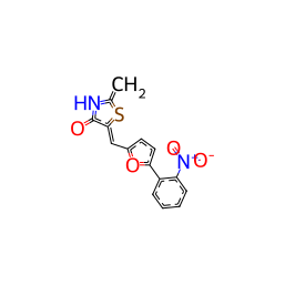 C=c1[nH]c(=O)/c(=C/c2ccc(-c3ccccc3[N+](=O)[O-])o2)s1